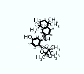 CC1(C)CCC(C)(C)c2cc(Nc3cc(O)ccc3B3OC(C)(C)C(C)(C)O3)ccc21